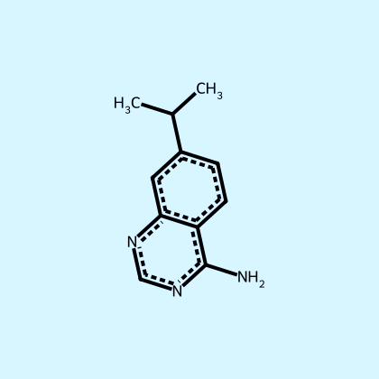 CC(C)c1ccc2c(N)ncnc2c1